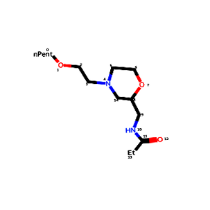 CCCCCOCCN1CCOC(CNC(=O)CC)C1